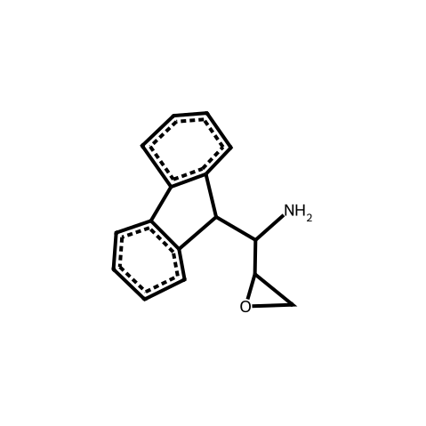 NC(C1CO1)C1c2ccccc2-c2ccccc21